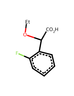 CCOC(C(=O)O)c1ccccc1F